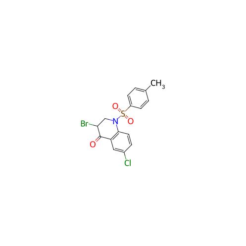 Cc1ccc(S(=O)(=O)N2CC(Br)C(=O)c3cc(Cl)ccc32)cc1